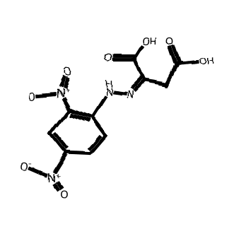 O=C(O)CC(=NNc1ccc([N+](=O)[O-])cc1[N+](=O)[O-])C(=O)O